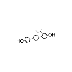 CCC(C)c1cc(O)ccc1-c1ccc(-c2ccc(O)cc2)cc1